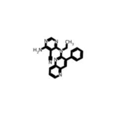 CCN(c1nc2cccnc2cc1-c1ccccc1)c1ncnc(N)c1C#N